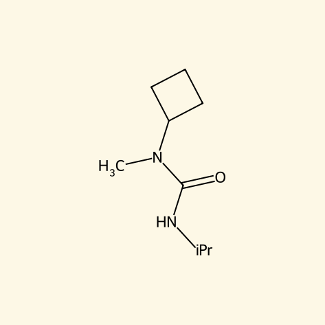 CC(C)NC(=O)N(C)C1CCC1